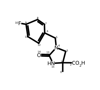 CC1(C(=O)O)CN(Cc2ccc(F)cc2)C(=O)N1